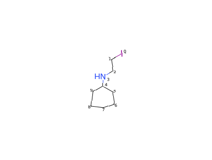 ICCNC1CCCCC1